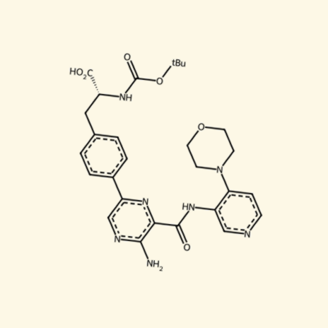 CC(C)(C)OC(=O)N[C@H](Cc1ccc(-c2cnc(N)c(C(=O)Nc3cnccc3N3CCOCC3)n2)cc1)C(=O)O